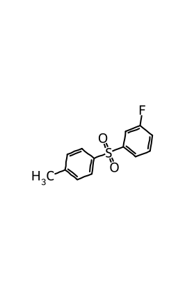 Cc1ccc(S(=O)(=O)c2cccc(F)c2)cc1